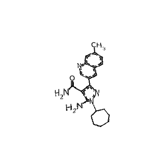 Cc1ccc2cc(-c3nn(C4CCCCCC4)c(N)c3C(N)=O)cnc2c1